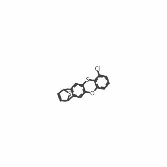 Clc1cccc2c1Sc1cc3c(cc1O2)C1C=CC3S1